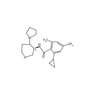 O=C(N[C@H]1COCCC1N1CCCC1)c1c(C2CC2)cc(C(F)(F)F)cc1C(F)(F)F